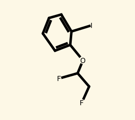 FCC(F)Oc1ccccc1I